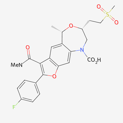 CNC(=O)c1c(-c2ccc(F)cc2)oc2cc3c(cc12)[C@H](C)O[C@H](CCS(C)(=O)=O)CN3C(=O)O